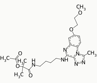 COCCOc1ccc2c(c1)nc(NCCCCNC(=O)C(C)(C)OC(C)=O)c1nnc(C)n12